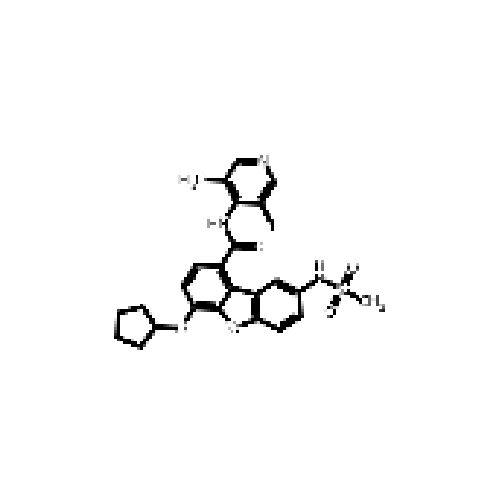 Cc1cncc(I)c1NC(=O)c1ccc(OC2CCCC2)c2oc3ccc(NS(C)(=O)=O)cc3c12